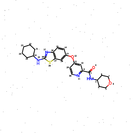 O=C(NC1CCOCC1)c1cc(Oc2ccc3nc(NC4CCCCC4)sc3c2)ccn1